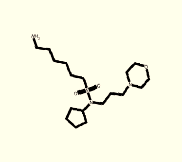 NCCCCCCS(=O)(=O)N(CCCN1CCOCC1)C1CCCC1